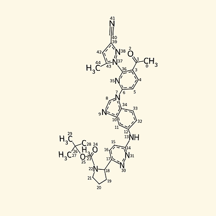 CC(=O)c1ccc(-n2cnc3cc(Nc4ccc(C5CCCN5C(=O)OC(C)(C)C)nn4)ccc32)nc1-n1nc(C#N)cc1C